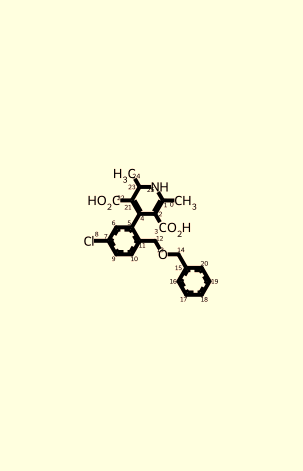 CC1=C(C(=O)O)C(c2cc(Cl)ccc2COCc2ccccc2)=C(C(=O)O)C(C)N1